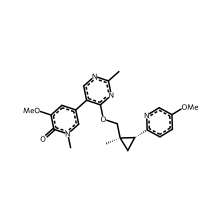 COc1ccc([C@@H]2C[C@@]2(C)COc2nc(C)ncc2-c2cc(OC)c(=O)n(C)c2)nc1